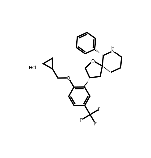 Cl.FC(F)(F)c1ccc(OCC2CC2)c([C@@H]2CO[C@]3(CCCN[C@H]3c3ccccc3)C2)c1